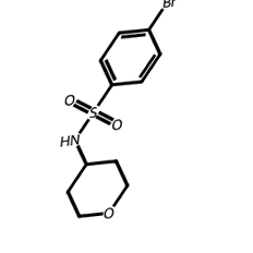 O=S(=O)(NC1CCOCC1)c1ccc(Br)cc1